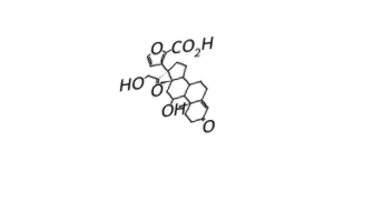 C[C@]12CCC(=O)C=C1CCC1C2[C@@H](O)C[C@@]2(C)C1CC[C@]2(C(=O)CO)c1ccoc1C(=O)O